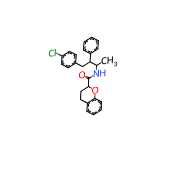 CC(NC(=O)C1CCc2ccccc2O1)C(Cc1ccc(Cl)cc1)c1ccccc1